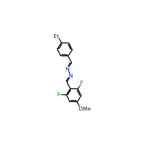 CCc1ccc(/C=N/N=C/c2c(F)cc(OC)cc2F)cc1